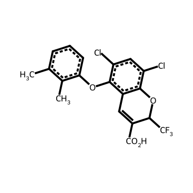 Cc1cccc(Oc2c(Cl)cc(Cl)c3c2C=C(C(=O)O)C(C(F)(F)F)O3)c1C